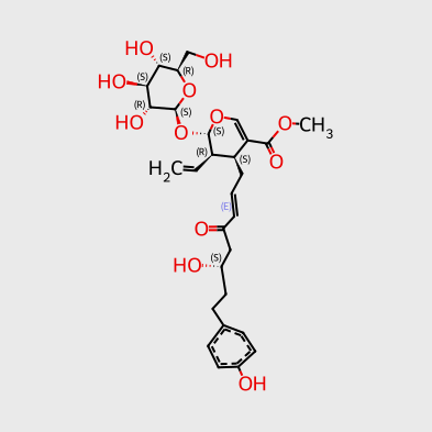 C=C[C@H]1[C@H](O[C@@H]2O[C@H](CO)[C@@H](O)[C@H](O)[C@H]2O)OC=C(C(=O)OC)[C@H]1C/C=C/C(=O)C[C@@H](O)CCc1ccc(O)cc1